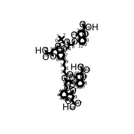 CC(C)(C)C(=O)OC(COc1cccc2oc(C(=O)O)cc(=O)c12)COc1cc(CCCCC(=O)OC(COc2cccc3oc(C(=O)O)cc(=O)c23)COc2cccc3oc(C(=O)O)cc(=O)c23)cc2oc(C(=O)O)cc(=O)c12